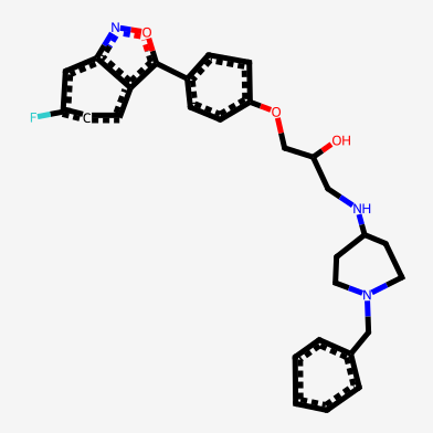 OC(CNC1CCN(Cc2ccccc2)CC1)COc1ccc(-c2onc3cc(F)ccc23)cc1